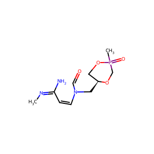 C/N=C(N)\C=C/N(C=O)C[C@H]1COP(C)(=O)CO1